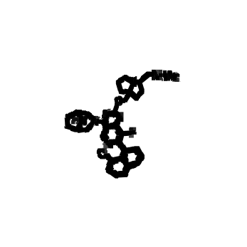 CC(=O)NCC1CCC2(COc3nc(N4CC5CCC(C4)N5)c4cnc(-c5cccc6cccc(Cl)c56)c(F)c4n3)CCCN12